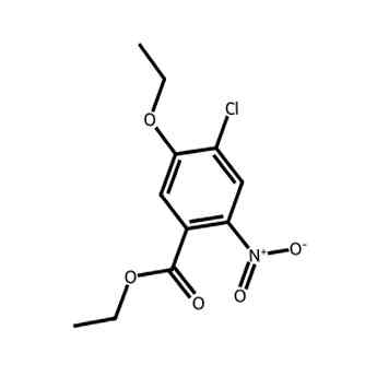 CCOC(=O)c1cc(OCC)c(Cl)cc1[N+](=O)[O-]